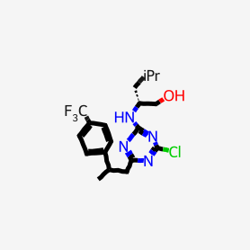 CC(C)C[C@H](CO)Nc1nc(Cl)nc(CC(C)c2ccc(C(F)(F)F)cc2)n1